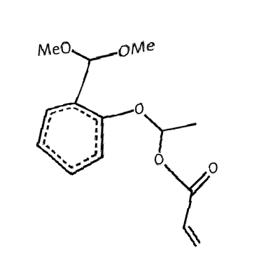 C=CC(=O)OC(C)Oc1ccccc1C(OC)OC